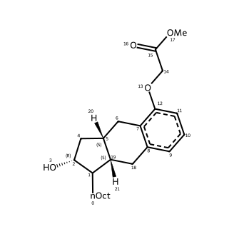 CCCCCCCCC1[C@H](O)C[C@@H]2Cc3c(cccc3OCC(=O)OC)C[C@H]12